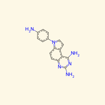 Nc1ccc(-n2ccc3c4c(N)nc(N)nc4ccc32)cc1